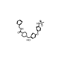 CS(=O)(=O)Nc1ccc(Oc2ccc(CN3CCN(C(=O)NCc4ccccc4)CC3)cc2)cc1.Cl